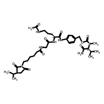 CC(C)C1CC(=O)N(CCCCCC(=O)NCC(=O)N[C@@H](CCCNC(N)=O)C(=O)Nc2ccc(COC(=O)N(C)[C@H](C(N)=O)C(C)C)cc2)C1=O